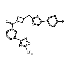 O=C(c1cccc(-c2noc(C(F)(F)F)n2)c1)N1CC(Cc2nc(-c3ccc(F)cc3)cs2)C1